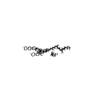 C/C(=C\CSC[C@H](NC(=O)COCC(=O)[O-])C(=O)[O-])CCCC(C)CCCC(C)CCCC(C)C.[Na+].[Na+]